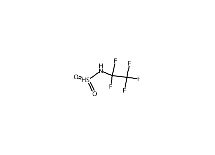 O=[SH](=O)NC(F)(F)C(F)(F)F